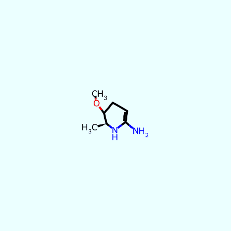 COC1CC=C(N)N[C@H]1C